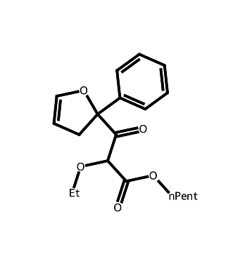 CCCCCOC(=O)C(OCC)C(=O)C1(c2ccccc2)CC=CO1